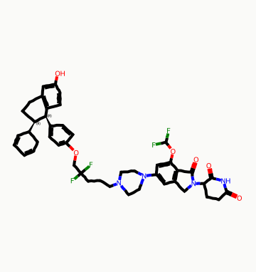 O=C1CCC(N2Cc3cc(N4CCN(CCCC(F)(F)COc5ccc([C@@H]6c7ccc(O)cc7CC[C@@H]6C6C=CC=CC6)cc5)CC4)cc(OC(F)F)c3C2=O)C(=O)N1